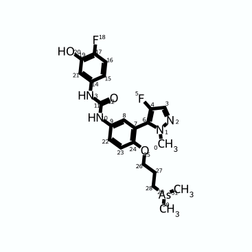 Cn1ncc(F)c1-c1cc(NC(=O)Nc2ccc(F)c(O)c2)ccc1OCCC[As](C)C